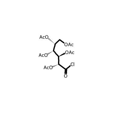 CC(=O)OC[C@@H](OC(C)=O)[C@@H](OC(C)=O)[C@@H](OC(C)=O)[C@@H](OC(C)=O)C(=O)Cl